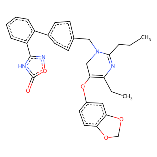 CCCC1=NC(CC)=C(Oc2ccc3c(c2)OCO3)CN1Cc1ccc(-c2ccccc2-c2noc(=O)[nH]2)cc1